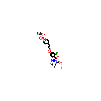 C[C@H](CO)NC(=O)c1ccc(OCCCC2CCN(C(=O)OC(C)(C)C)CC2)cc1F